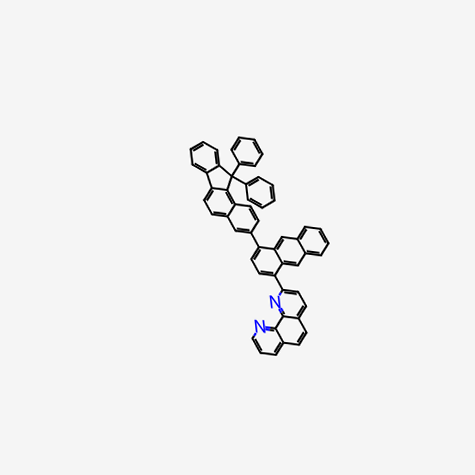 c1ccc(C2(c3ccccc3)c3ccccc3-c3ccc4cc(-c5ccc(-c6ccc7ccc8cccnc8c7n6)c6cc7ccccc7cc56)ccc4c32)cc1